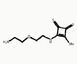 CC(C)(C)c1c(NCCOCCN)c(=S)c1=S